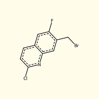 Fc1cc2ccc(Cl)nc2cc1CBr